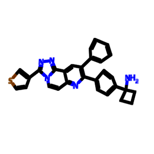 NC1(c2ccc(-c3nc4ccn5c(-c6ccsc6)nnc5c4cc3-c3ccccc3)cc2)CCC1